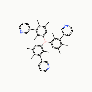 Cc1cc(B(c2cc(C)c(C)c(-c3cccnc3)c2C)c2cc(C)c(C)c(-c3cccnc3)c2C)c(C)c(-c2cccnc2)c1C